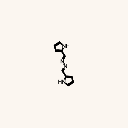 C(=N\N=C\c1ccc[nH]1)/c1ccc[nH]1